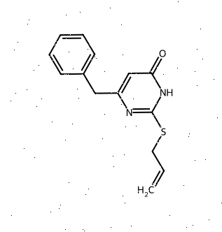 C=CCSc1nc(Cc2ccccc2)cc(=O)[nH]1